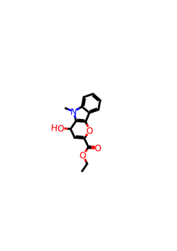 CCOC(=O)C1=CC(O)c2c(c3ccccc3n2C)O1